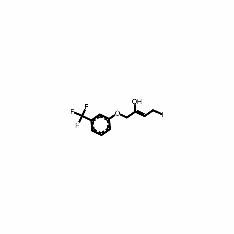 OC(=CCI)COc1cccc(C(F)(F)F)c1